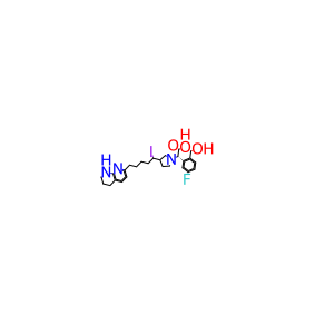 O=C(O)[C@H](c1cc(F)ccc1CO)N1CCC([C@H](I)CCCCc2ccc3c(n2)NCCC3)C1